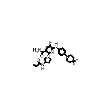 C=CC(=O)NC1CCN(c2nc(Nc3ccc(N4CCC(F)(F)CC4)cc3)c(F)cc2C(N)=O)C1